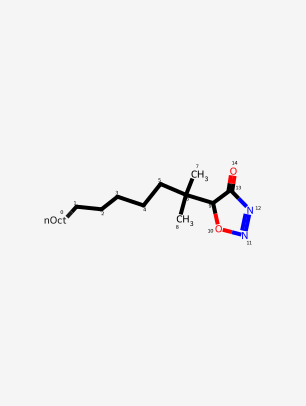 CCCCCCCCCCCCCC(C)(C)C1ON=NC1=O